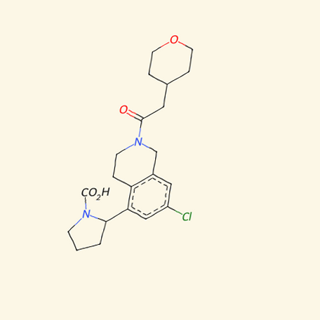 O=C(CC1CCOCC1)N1CCc2c(cc(Cl)cc2C2CCCN2C(=O)O)C1